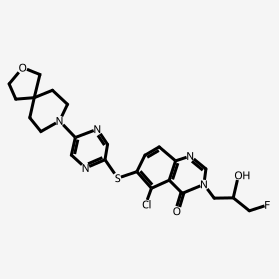 O=c1c2c(Cl)c(Sc3cnc(N4CCC5(CCOC5)CC4)cn3)ccc2ncn1CC(O)CF